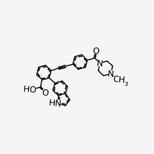 CN1CCN(C(=O)c2ccc(C#Cc3cccc(C(=O)O)c3-c3ccc4cc[nH]c4c3)cc2)CC1